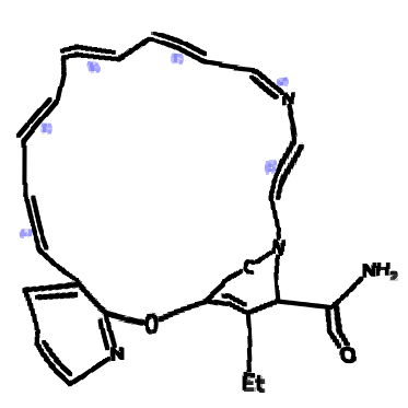 [CH]CC1=C2CN(/C=C/N=C\C=C\C=C\C=C\C=C/c3cccnc3O2)C1C(N)=O